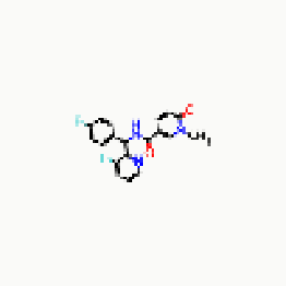 Cn1cc(C(=O)NC(c2ccc(F)cc2)c2ncccc2F)ccc1=O